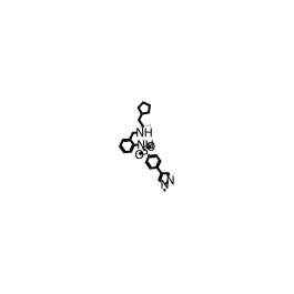 C[C@@H](CC1CCCC1)NCc1ccccc1NS(=O)(=O)c1ccc(-c2cnn(C)c2)cc1